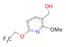 COc1nc(OCC(F)(F)F)ccc1CO